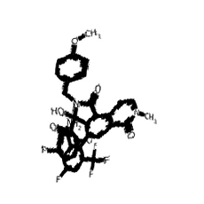 COc1ccc(CN2C(=O)c3c(c(-c4c(C(N)=O)cc(F)cc4C(F)(F)F)cc4c(=O)n(C)ccc34)C2(O)c2cc(F)ccc2Cl)cc1